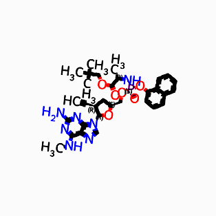 C#C[C@H]1C[C@@H](CO[P@@](=O)(N[C@H](C)C(=O)OCC(C)(C)C)Oc2cccc3ccccc23)O[C@H]1n1cnc2c(NC)nc(N)nc21